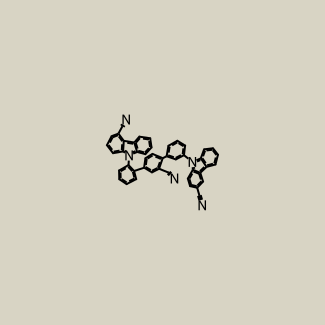 N#Cc1ccc2c(c1)c1ccccc1n2-c1cccc(-c2ccc(-c3ccccc3-n3c4ccccc4c4c(C#N)cccc43)cc2C#N)c1